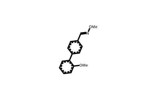 CON=Cc1ccc(-c2ccccc2OC)cc1